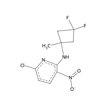 CC1(Nc2nc(Cl)ccc2[N+](=O)[O-])CC(F)(F)C1